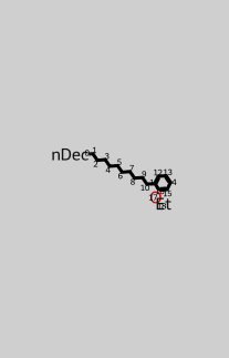 CCCCCCCCCCCCCCCCCCCCc1ccccc1OCC